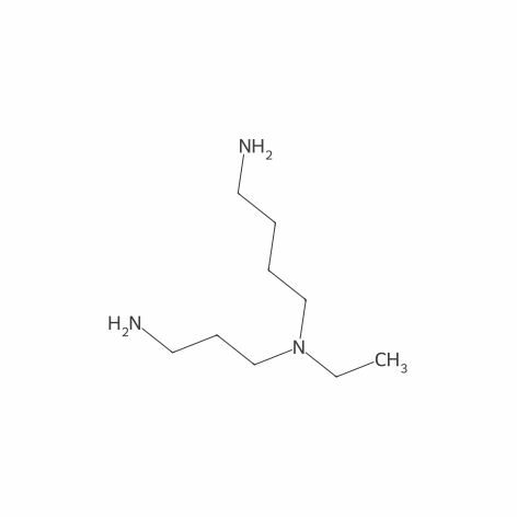 CCN(CCCN)CCCCN